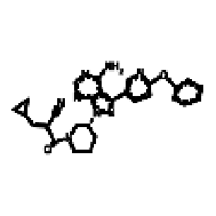 N#C/C(=C\C1CC1)C(=O)N1CCC[C@@H](n2nc(-c3ccc(Oc4ccccc4)nc3)c3c(N)ncnc32)C1